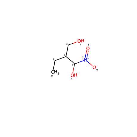 CCC(CO)C(O)[N+](=O)[O-]